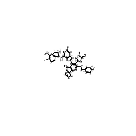 COc1c(F)ccc2c1C[C@@H](F)[C@H]2Nc1nc(C)cc2cc(-c3c4c(nc(CCc5ccc(F)cc5)c3-c3n[nH]c(=O)o3)C35CC(CN3C4=O)C5)sc12